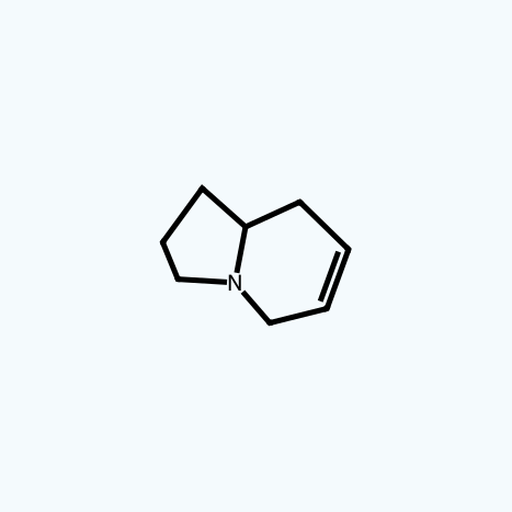 C1=CCN2CCCC2C1